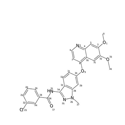 COc1cc2nccc(Oc3ccc4c(NC(=O)c5cccc(Cl)c5)nn(C)c4c3)c2cc1OC